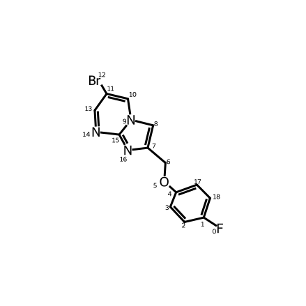 Fc1ccc(OCc2cn3cc(Br)cnc3n2)cc1